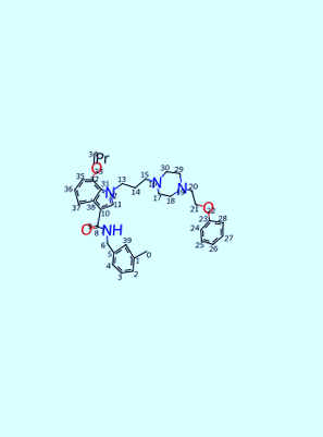 Cc1cccc(CNC(=O)c2cn(CCCN3CCN(CCOc4ccccc4)CC3)c3c(OC(C)C)cccc23)c1